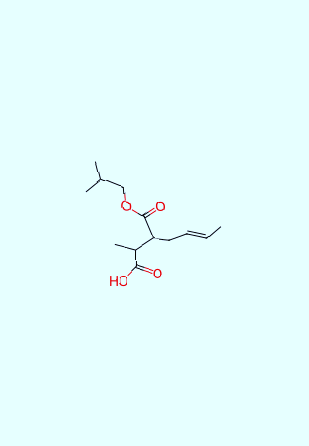 CC=CCC(C(=O)OCC(C)C)C(C)C(=O)O